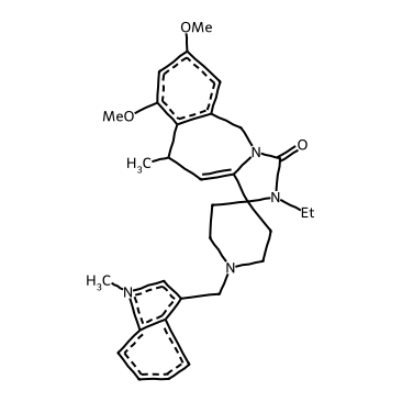 CCN1C(=O)N2Cc3cc(OC)cc(OC)c3C(C)C=C2C12CCN(Cc1cn(C)c3ccccc13)CC2